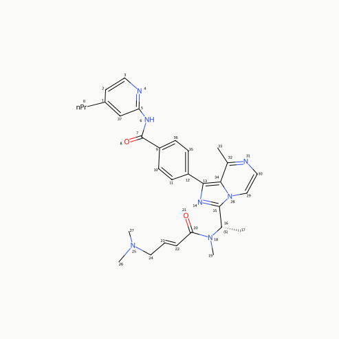 CCCc1ccnc(NC(=O)c2ccc(-c3nc([C@H](C)N(C)C(=O)C=CCN(C)C)n4ccnc(C)c34)cc2)c1